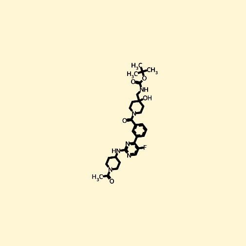 CC(=O)N1CCC(Nc2ncc(F)c(-c3cccc(C(=O)N4CCC(O)(CNC(=O)OC(C)(C)C)CC4)c3)n2)CC1